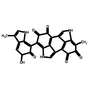 Cc1c[nH]c2c1=CC(O)C(=O)C=2c1c(=O)c(=O)c2c3c[nH]c4c(C)c(=O)c(=O)c(c5c[nH]c1c52)c43